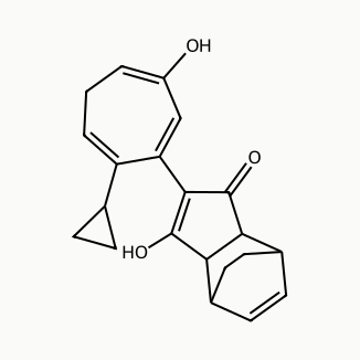 O=C1C(C2=CC(O)=CCC=C2C2CC2)=C(O)C2C3C=CC(CC3)C12